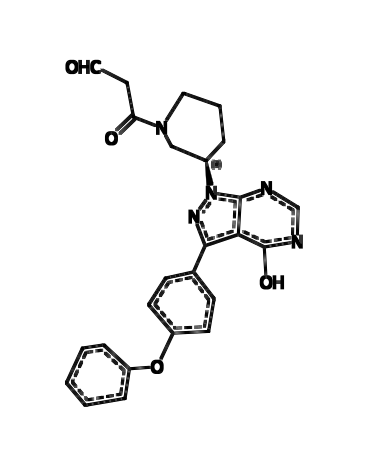 O=CCC(=O)N1CCC[C@@H](n2nc(-c3ccc(Oc4ccccc4)cc3)c3c(O)ncnc32)C1